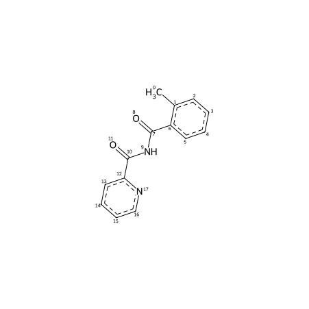 Cc1ccccc1C(=O)NC(=O)c1ccccn1